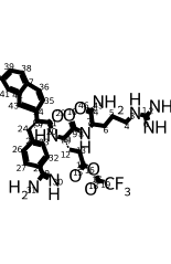 N=C(N)NCCCC(NC(=O)[C@H](CCC(=O)OC(=O)C(F)(F)F)NC(=O)[C@@H](Cc1ccc(C(=N)N)cc1)c1ccc2ccccc2c1)C(N)=O